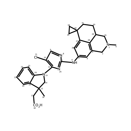 CN1Cc2cc(Nc3ncc(Cl)c(N4CC(C)(CC(=O)O)c5ccccc54)n3)cc3c2C(CCC32CC2)C1